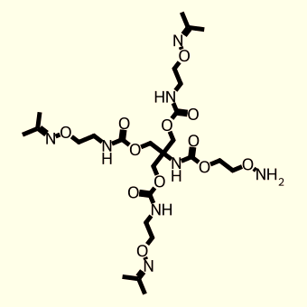 CC(C)=NOCCNC(=O)OCC(COC(=O)NCCON=C(C)C)(COC(=O)NCCON=C(C)C)NC(=O)OCCON